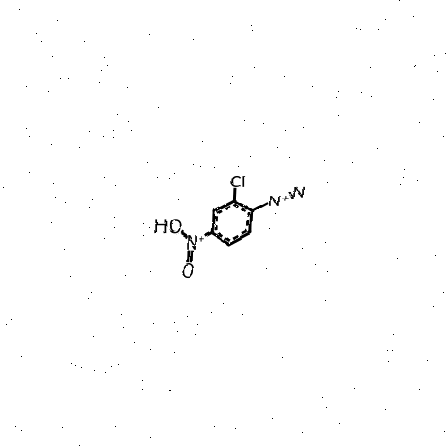 N#[N+]c1ccc([N+](=O)O)cc1Cl